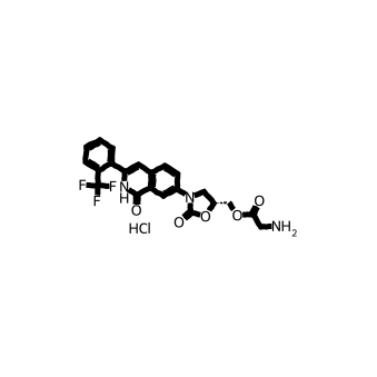 Cl.NCC(=O)OC[C@H]1CN(c2ccc3cc(-c4ccccc4C(F)(F)F)[nH]c(=O)c3c2)C(=O)O1